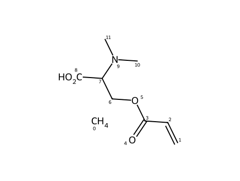 C.C=CC(=O)OCC(C(=O)O)N(C)C